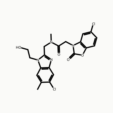 Cc1cc2c(cc1Cl)nc(CN(C)C(=O)Cn1c(=O)oc3ccc(Cl)cc31)n2CCO